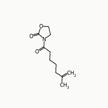 C=C(C)CCCCC(=O)N1CCOC1=O